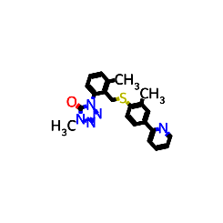 Cc1cc(-c2ccccn2)ccc1SCc1c(C)cccc1-n1nnn(C)c1=O